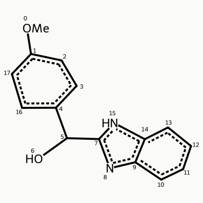 COc1ccc(C(O)c2nc3ccccc3[nH]2)cc1